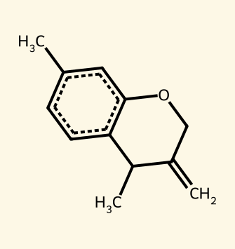 C=C1COc2cc(C)ccc2C1C